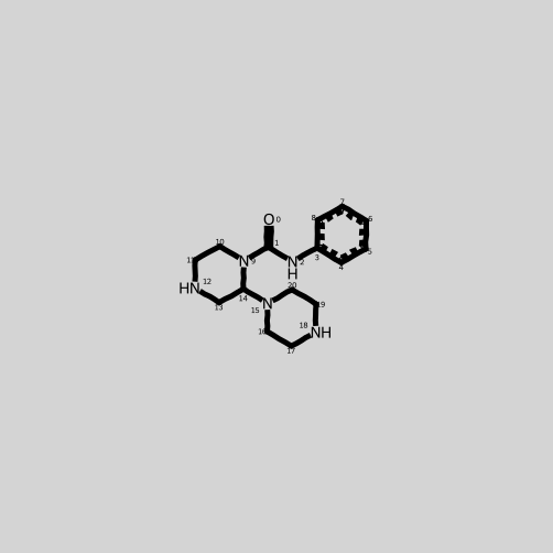 O=C(Nc1ccccc1)N1CCNCC1N1CCNCC1